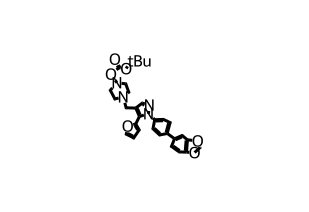 CC(C)(C)OC(=O)ON1CCN(Cc2cnn(-c3ccc(-c4ccc5c(c4)OCO5)cc3)c2-c2ccco2)CC1